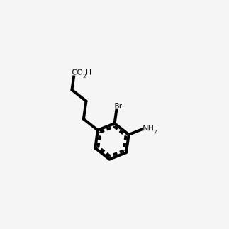 Nc1cccc(CCCC(=O)O)c1Br